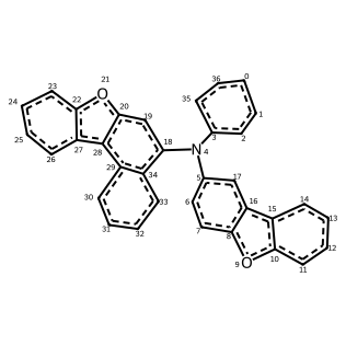 c1ccc(N(c2ccc3oc4ccccc4c3c2)c2cc3oc4ccccc4c3c3ccccc23)cc1